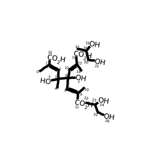 CC(=CC(C)(O)C(O)(C=C(C)C(=O)O)C=C(C)C(=O)O)C(=O)O.CC(O)CO.CC(O)CO